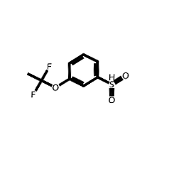 CC(F)(F)Oc1cccc([SH](=O)=O)c1